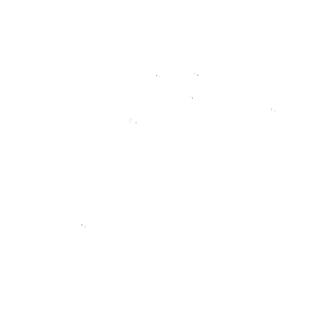 O=c1cc(-c2ccc(Nc3ccc(S(=O)(=O)N4CCOCC4)cc3)c3ncnn23)cc[nH]1